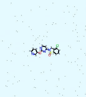 [O-][S+]1c2cccc(Cl)c2CN1c1ccnc(Oc2cccnc2)n1